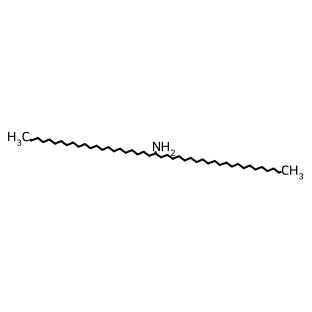 CCCCCCCCCCCCCCCCCCCCCCC(N)CCCCCCCCCCCCCCCCCCCCCC